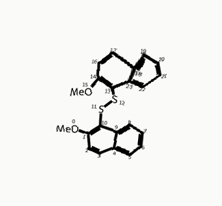 COc1ccc2ccccc2c1SSc1c(OC)ccc2ccccc12